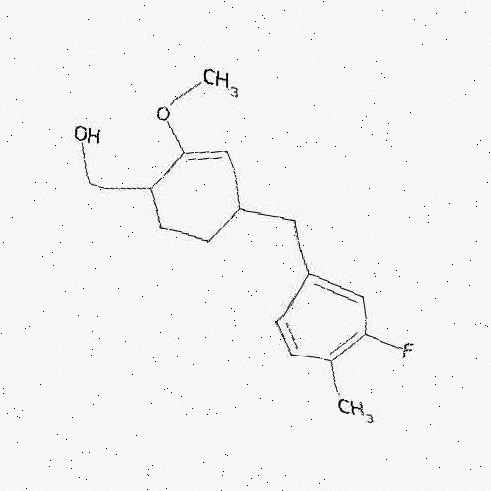 COC1=CC(Cc2ccc(C)c(F)c2)CCC1CO